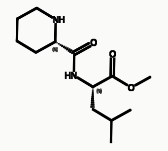 COC(=O)[C@H](CC(C)C)NC(=O)[C@@H]1CCCCN1